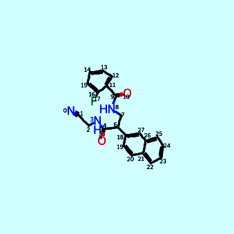 N#CCNC(=O)C(CNC(=O)c1ccccc1F)c1ccc2ccccc2c1